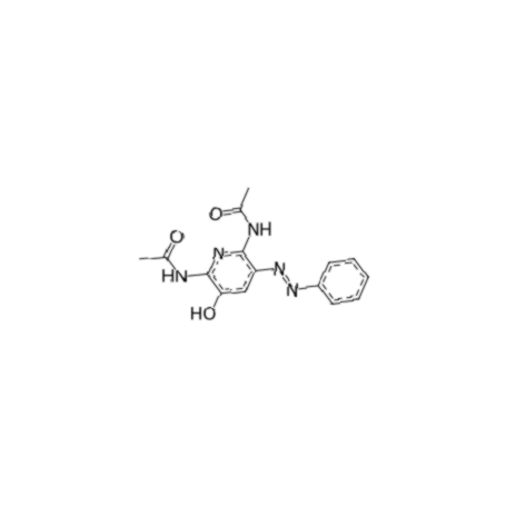 CC(=O)Nc1nc(NC(C)=O)c(/N=N/c2ccccc2)cc1O